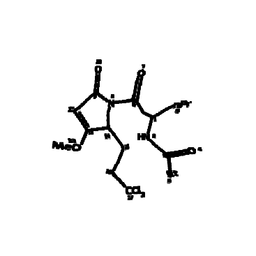 CCCC(NC(=O)CC)C(=O)N1C(=O)C=C(OC)C1CCC(Cl)(Cl)Cl